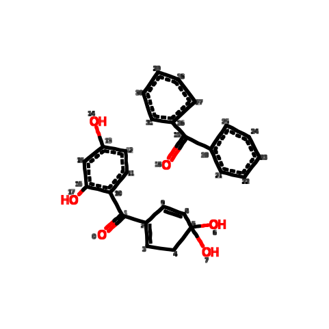 O=C(C1=CCC(O)(O)C=C1)c1ccc(O)cc1O.O=C(c1ccccc1)c1ccccc1